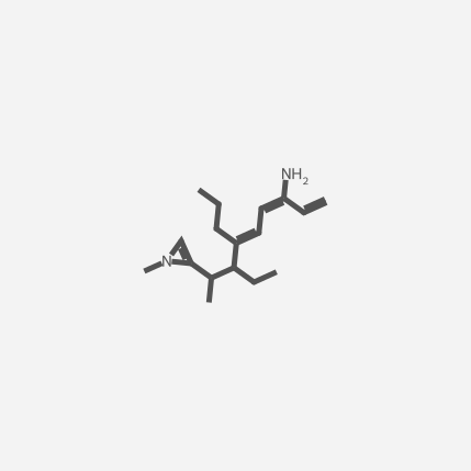 C=C/C(N)=C\C=C(/CCC)C(CC)C(C)C1=CN1C